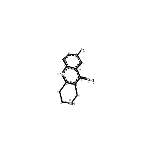 Cl.O=c1c2c(sc3ccc(Cl)cc13)CCNC2